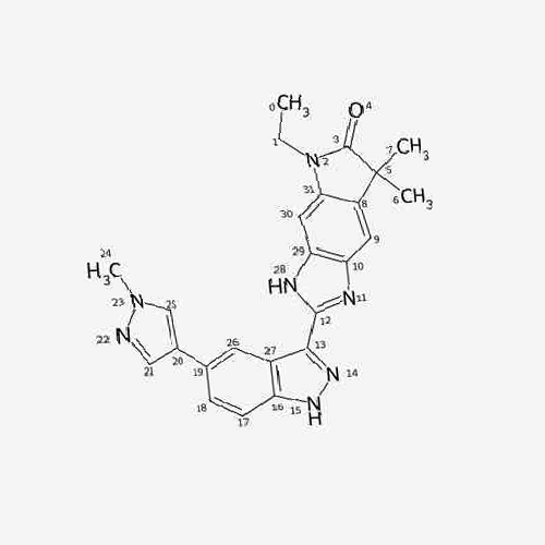 CCN1C(=O)C(C)(C)c2cc3nc(-c4n[nH]c5ccc(-c6cnn(C)c6)cc45)[nH]c3cc21